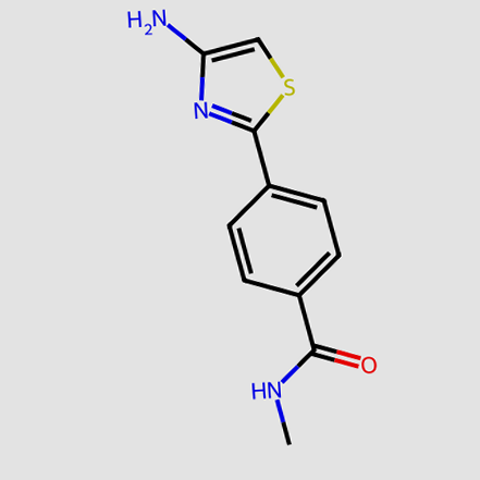 CNC(=O)c1ccc(-c2nc(N)cs2)cc1